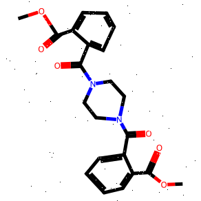 COC(=O)c1ccccc1C(=O)N1CCN(C(=O)c2ccccc2C(=O)OC)CC1